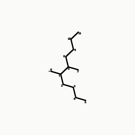 [CH2]C(CCCC)C(C)CCCC